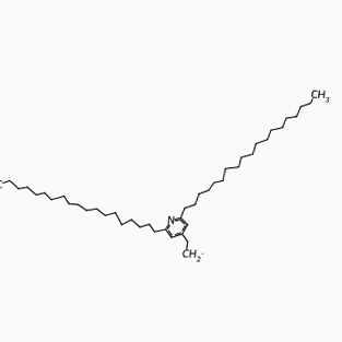 [CH2]Cc1cc(CCCCCCCCCCCCCCCCCCC)nc(CCCCCCCCCCCCCCCCCCC)c1